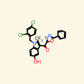 O=C(c1nnc(-c2ccccc2)o1)c1c(C(F)(F)F)n(Cc2ccc(Cl)cc2Cl)c2ccc(O)cc12